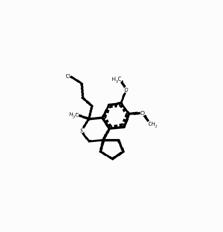 COc1cc2c(cc1OC)C(C)(CCCCl)SCC21CCCC1